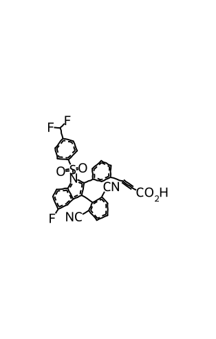 N#Cc1cccc(C#N)c1-c1c(-c2cccc(C#CC(=O)O)c2)n(S(=O)(=O)c2ccc(C(F)F)cc2)c2ccc(F)cc12